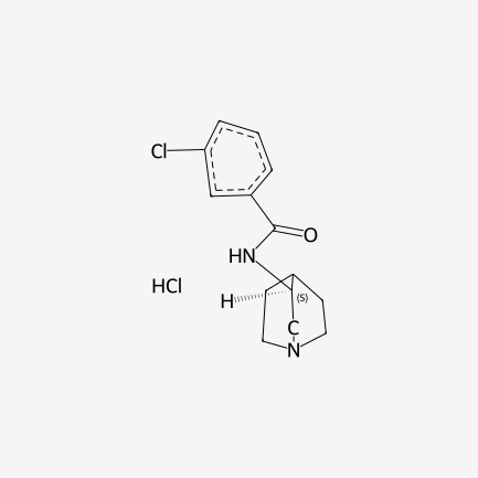 Cl.O=C(N[C@@H]1CN2CCC1CC2)c1cccc(Cl)c1